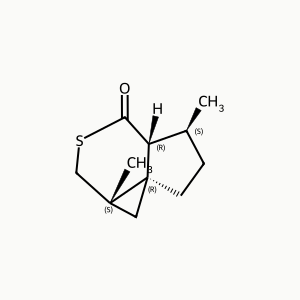 C[C@H]1CC[C@]23C[C@]2(C)CSC(=O)[C@H]13